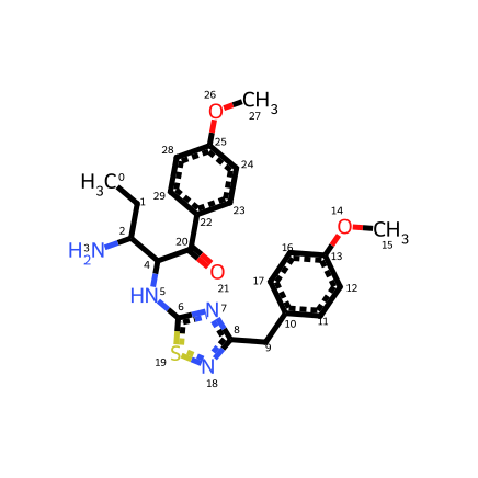 CCC(N)C(Nc1nc(Cc2ccc(OC)cc2)ns1)C(=O)c1ccc(OC)cc1